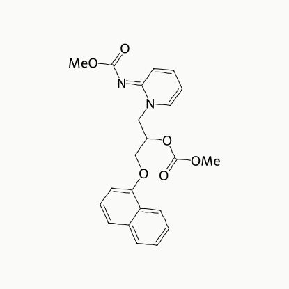 COC(=O)N=c1ccccn1CC(COc1cccc2ccccc12)OC(=O)OC